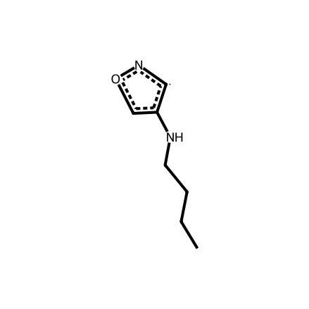 CCCCNc1[c]noc1